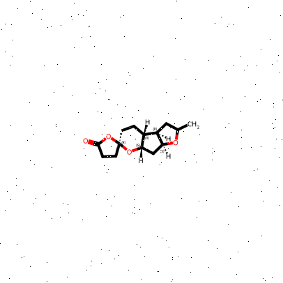 CC1C[C@@H]2[C@H]3CC[C@@]4(CCC(=O)O4)O[C@H]3C[C@@H]2O1